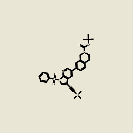 CC(C)(C)OC(=O)N1CCc2ccc(-c3cnc4c(c3)c(C#C[Si](C)(C)C)cn4S(=O)(=O)c3ccccc3)cc2C1